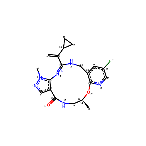 C=C(/C1=N\c2c(cnn2C)C(=O)NC[C@H](C)Oc2ncc(F)cc2CN1)C1CC1